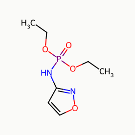 CCOP(=O)(Nc1ccon1)OCC